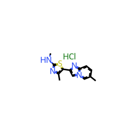 CNc1nc(C)c(-c2cn3cc(C)ccc3n2)s1.Cl